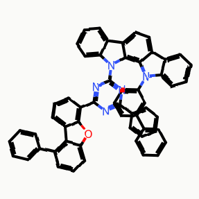 c1ccc(-c2cccc(-n3c4ccccc4c4ccc5c6ccccc6n(-c6nc(-c7ccccc7)nc(-c7cccc8c7oc7cccc(-c9ccccc9)c78)n6)c5c43)c2)cc1